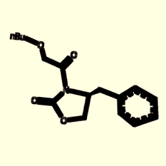 CCCCOCC(=O)N1C(=O)OC[C@@H]1Cc1ccccc1